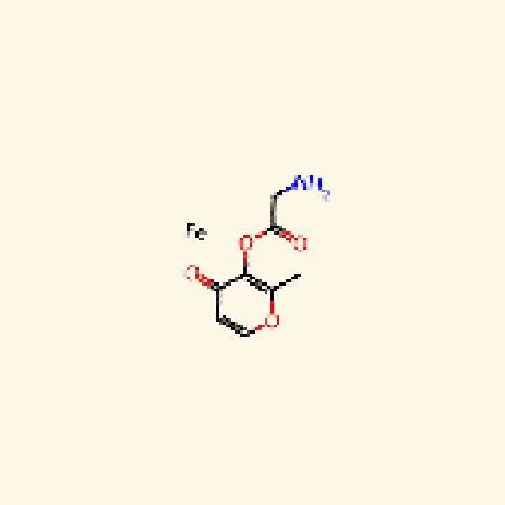 Cc1occc(=O)c1OC(=O)CN.[Fe]